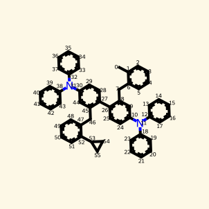 Cc1ccccc1Cc1cc(N(c2ccccc2)c2ccccc2)ccc1-c1ccc(N(c2ccccc2)c2ccccc2)cc1Cc1ccccc1C1CC1